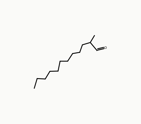 CCCCCCCCCCC(C)[C]=O